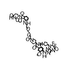 COc1cc(C(=O)NC2CCN(C(=O)COCCOCCNc3cccc4c3C(=O)N(C3CCC(=O)NC3=O)C4=O)CC2)c(F)cc1Nc1ncc2c(n1)N(C1CCCC1)CC(F)(F)C(=O)N2C